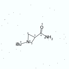 CCC(C)N1CC(C(N)=O)C1